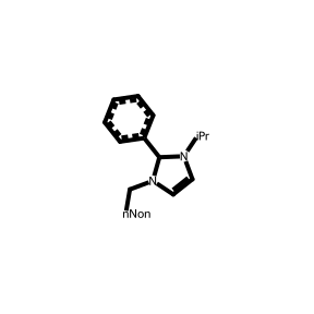 CCCCCCCCCCN1C=CN(C(C)C)C1c1ccccc1